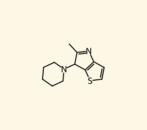 CC1=Nc2ccsc2C1N1CCCCC1